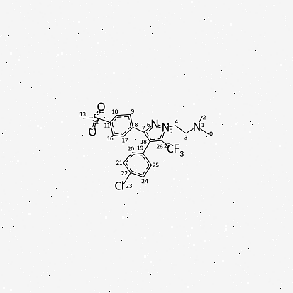 CN(C)CCn1nc(-c2ccc(S(C)(=O)=O)cc2)c(-c2ccc(Cl)cc2)c1C(F)(F)F